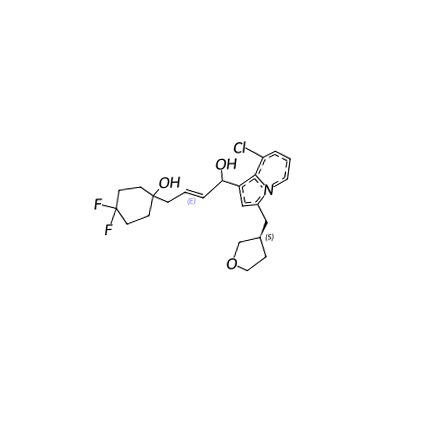 OC(/C=C/CC1(O)CCC(F)(F)CC1)c1cc(C[C@H]2CCOC2)n2cccc(Cl)c12